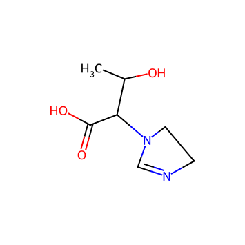 CC(O)C(C(=O)O)N1C=NCC1